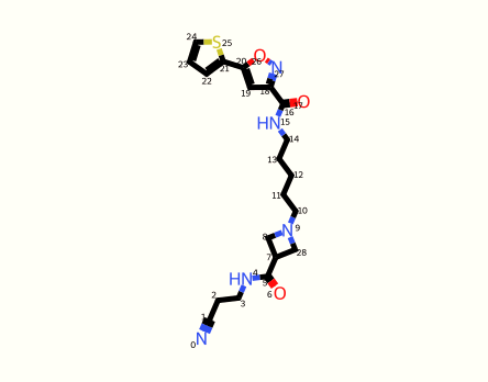 N#CCCNC(=O)C1CN(CCCCCNC(=O)c2cc(-c3cccs3)on2)C1